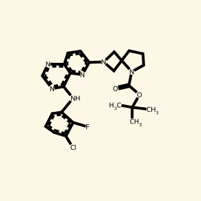 CC(C)(C)OC(=O)N1CCCC12CN(c1ccc3ncnc(Nc4cccc(Cl)c4F)c3n1)C2